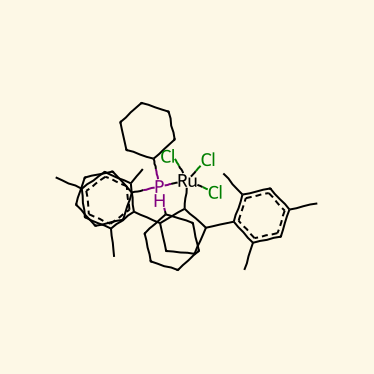 Cc1cc(C)c(C2CCC(c3c(C)cc(C)cc3C)[CH]2[Ru]([Cl])([Cl])([Cl])[PH](C2CCCCC2)(C2CCCCC2)C2CCCCC2)c(C)c1